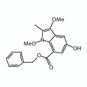 COc1c(C)n(OC)c2c(C(=O)OCc3ccccc3)cc(O)cc12